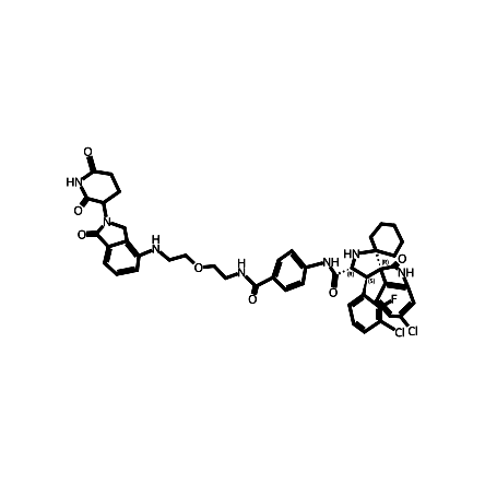 O=C1CCC(N2Cc3c(NCCOCCNC(=O)c4ccc(NC(=O)[C@@H]5NC6(CCCCC6)[C@@]6(C(=O)Nc7cc(Cl)ccc76)[C@H]5c5cccc(Cl)c5F)cc4)cccc3C2=O)C(=O)N1